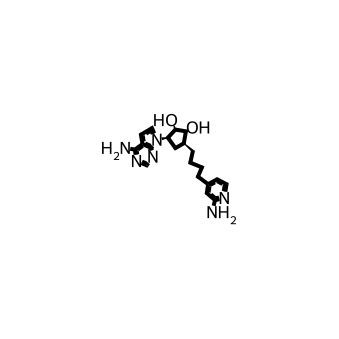 Nc1cc(CCCC[C@H]2C[C@@H](n3ccc4c(N)ncnc43)[C@H](O)[C@@H]2O)ccn1